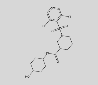 O=C(NC1CCC(O)CC1)C1CCCN(S(=O)(=O)c2c(Cl)cccc2Cl)C1